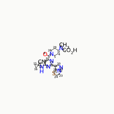 CN(C(=O)O)C1CCN(C(=O)c2cc(NC3(C#N)CC3)nc(-c3cnn4ccsc34)n2)CC1